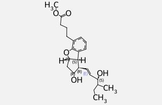 CCC(C)[C@H](O)/C=C/[C@@H]1[C@H]2c3cccc(CCCC(=O)OC)c3O[C@H]2C[C@H]1O